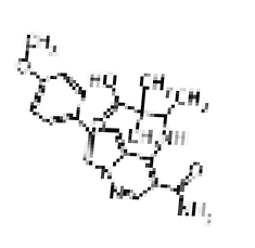 COc1ccc(-c2cc3c(NC(C)C(C)(C)C(=O)O)c(C(N)=O)cnn3c2)cc1